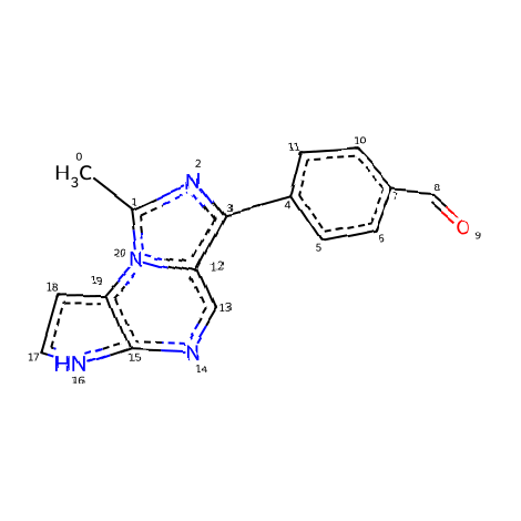 Cc1nc(-c2ccc(C=O)cc2)c2cnc3[nH]ccc3n12